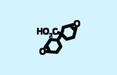 O=C(O)C1(C2CCC3OC3C2)CCC2OC2C1